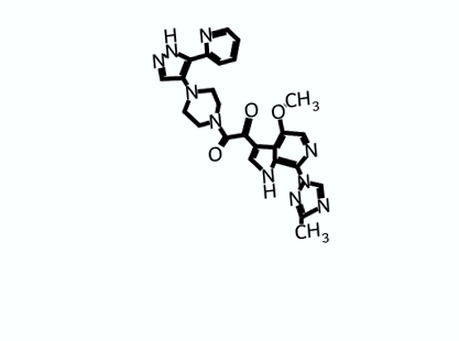 COc1cnc(-n2cnc(C)n2)c2[nH]cc(C(=O)C(=O)N3CCN(c4cn[nH]c4-c4ccccn4)CC3)c12